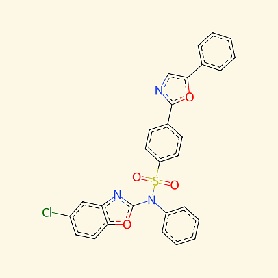 O=S(=O)(c1ccc(-c2ncc(-c3ccccc3)o2)cc1)N(c1ccccc1)c1nc2cc(Cl)ccc2o1